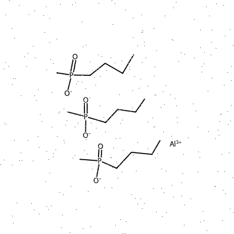 CCCCP(C)(=O)[O-].CCCCP(C)(=O)[O-].CCCCP(C)(=O)[O-].[Al+3]